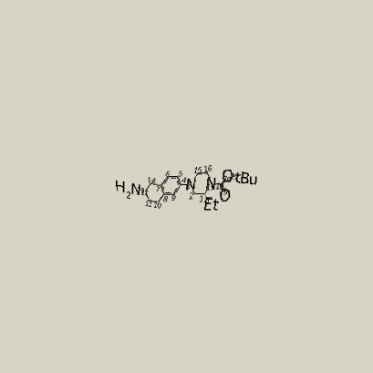 CC[C@@H]1CN(c2ccc3c(c2)CC[C@H](N)C3)CCN1C(=O)OC(C)(C)C